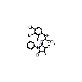 CN1C(=O)/C(=N\C(Nc2ccc(Cl)c(Br)c2F)C(Cl)(Cl)Cl)N(c2ccccc2)C1=O